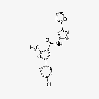 Cc1oc(-c2ccc(Cl)cc2)cc1C(=O)NC1=CC(c2ccco2)=N[N]1